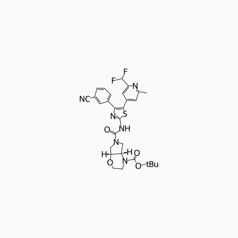 Cc1cc(-c2sc(NC(=O)N3C[C@H]4OCCN(C(=O)OC(C)(C)C)[C@H]4C3)nc2-c2cccc(C#N)c2)cc(C(F)F)n1